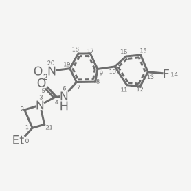 CCC1CN(C(=O)Nc2cc(-c3ccc(F)cc3)ccc2[N+](=O)[O-])C1